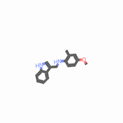 COc1ccc(NCc2c[nH]c3ccccc23)c(C)c1